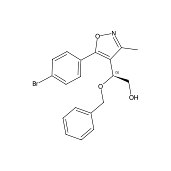 Cc1noc(-c2ccc(Br)cc2)c1[C@@H](CO)OCc1ccccc1